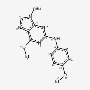 CCCCn1cnc2c(OCC)nc(Nc3ccc(OCC)nc3)nc21